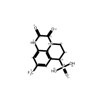 O=c1[nH]c2cc(C(F)(F)F)cc3c2n(c1=O)CCC3P(=O)(O)O